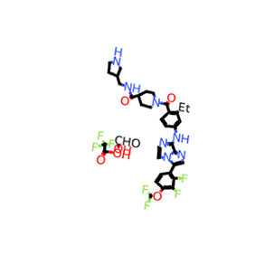 CCc1cc(Nc2nccn3c(-c4ccc(OC(F)F)c(F)c4F)cnc23)ccc1C(=O)N1CCC(C(=O)NCC2CCNC2)CC1.O=C(O)C(F)(F)F.O=CO